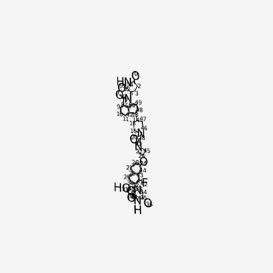 O=C1CCC(N2C(=O)c3cccc4c(C5CCN(CC(=O)N6CC(Oc7ccc8cc(O)c(N9CC(=O)NS9(=O)=O)c(F)c8c7)C6)CC5)ccc2c34)C(=O)N1